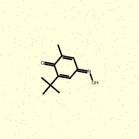 CC1=CC(=NO)C=C(C(C)(C)C)C1=O